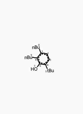 CCCCc1ccc(C(C)(C)C)c(O)c1CCCC